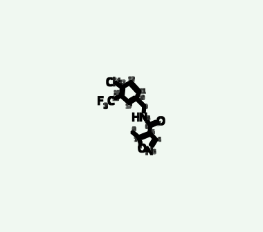 Cc1oncc1C(=O)NCc1ccc(Cl)c(C(F)(F)F)c1